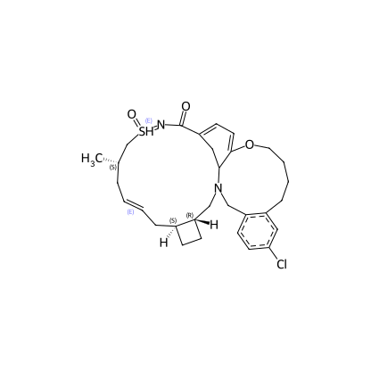 C[C@H]1C/C=C/C[C@@H]2CC[C@H]2CN2Cc3ccc(Cl)cc3CCCCOC3=CC=C(CC32)C(=O)/N=[SH](=O)\C1